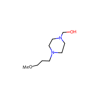 COCCCN1CCN(CO)CC1